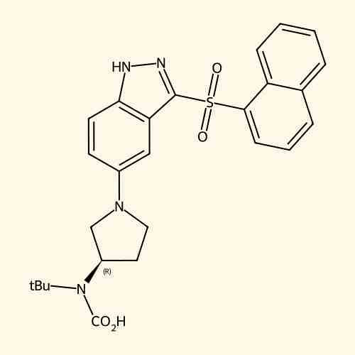 CC(C)(C)N(C(=O)O)[C@@H]1CCN(c2ccc3[nH]nc(S(=O)(=O)c4cccc5ccccc45)c3c2)C1